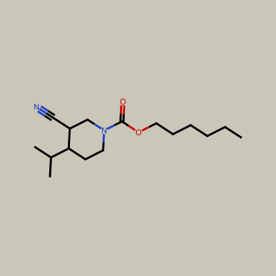 CCCCCCOC(=O)N1CCC(C(C)C)C(C#N)C1